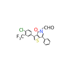 O=CCn1cc(-c2ccccc2)c2scc(-c3ccc(Cl)c(C(F)(F)F)c3)c2c1=O